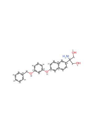 NC(CO)(CO)c1ccc2cc(Oc3cccc(OCc4ccccc4)c3)ccc2c1